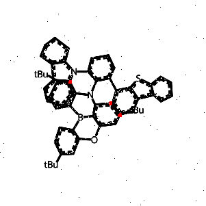 CC(C)(C)c1ccc2c(c1)Oc1cc(C(C)(C)C)cc3c1B2c1ccc(C(C)(C)C)cc1N3c1c(-c2cccc3c2sc2ccccc23)cccc1-n1c2ccccc2c2ccccc21